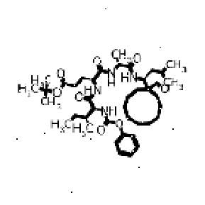 CC[C@H](C)[C@H](NC(=O)Oc1ccccc1)C(=O)N[C@@H](CCC(=O)OC(C)(C)C)C(=O)N[C@@H](C)C(=O)N[C@@H](CC(C)C)C1(C=O)CCCCCCCCC1